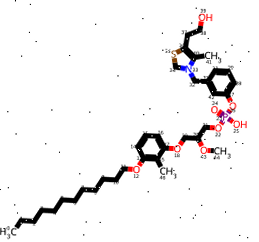 CCCCCCCCCCCCOc1cccc(OCC(COP(=O)(O)Oc2cccc(CN3CSC(CCO)=C3C)c2)OC)c1C